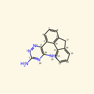 Nc1nnc(-c2cccc3c2-c2ccccc2C3)c(N)n1